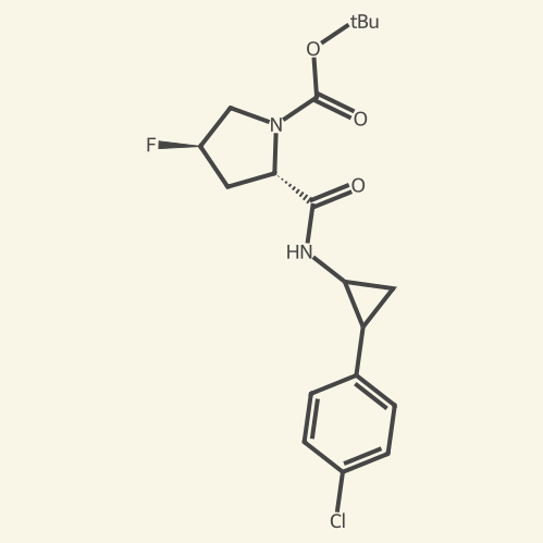 CC(C)(C)OC(=O)N1C[C@H](F)C[C@H]1C(=O)NC1CC1c1ccc(Cl)cc1